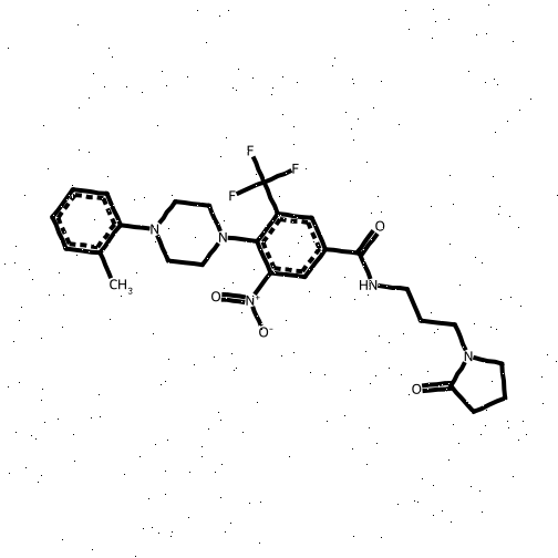 Cc1ccccc1N1CCN(c2c([N+](=O)[O-])cc(C(=O)NCCCN3CCCC3=O)cc2C(F)(F)F)CC1